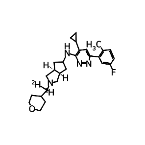 [2H]C([2H])(C1CCOCC1)N1C[C@H]2CC(Nc3nnc(-c4cc(F)ccc4C)cc3C3CC3)C[C@H]2C1